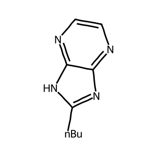 CCCCc1nc2nccnc2[nH]1